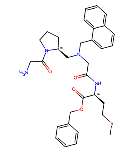 CSCC[C@H](NC(=O)CN(Cc1cccc2ccccc12)C[C@@H]1CCCN1C(=O)CN)C(=O)OCc1ccccc1